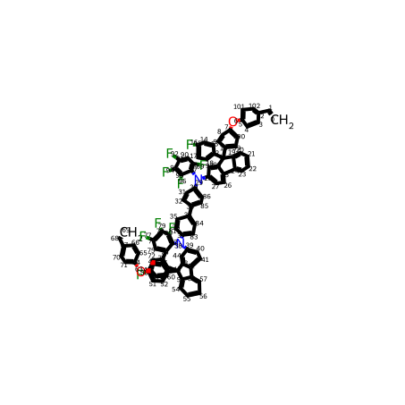 C=Cc1ccc(Oc2ccc(C3(c4ccc(F)cc4)c4ccccc4-c4ccc(N(c5ccc(-c6ccc(N7c8ccc9c(c8)C(c8ccc(F)cc8)(c8ccccc8-9)c8ccc(Oc9ccc(C=C)cc9)cc8-c8cc(F)c(F)c(F)c87)cc6)cc5)c5c(F)cc(F)c(F)c5F)cc43)cc2)cc1